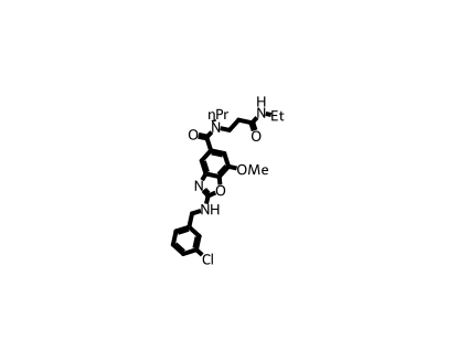 CCCN(CCC(=O)NCC)C(=O)c1cc(OC)c2oc(NCc3cccc(Cl)c3)nc2c1